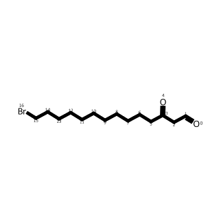 O=CCC(=O)CCCCCCCCCCCBr